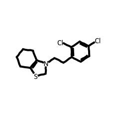 Clc1ccc(CCN2CSC3=C2CCCC3)c(Cl)c1